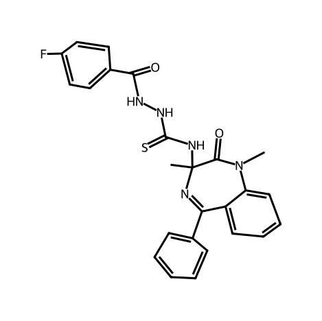 CN1C(=O)C(C)(NC(=S)NNC(=O)c2ccc(F)cc2)N=C(c2ccccc2)c2ccccc21